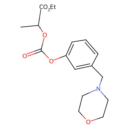 CCOC(=O)C(C)OC(=O)Oc1cccc(CN2CCOCC2)c1